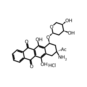 CC(=O)[C@]1(N)Cc2c(O)c3c(c(O)c2[C@@H](O[C@@H]2C[C@H](O)[C@H](O)CO2)C1)C(=O)c1ccccc1C3=O.Cl